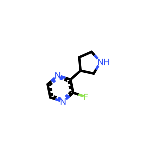 Fc1nccnc1C1CCNC1